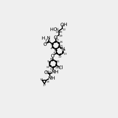 NC(=O)c1cc2c(Oc3ccc(NC(=O)NC4CC4)c(Cl)c3)ccnc2cc1OC[C@H](O)CO